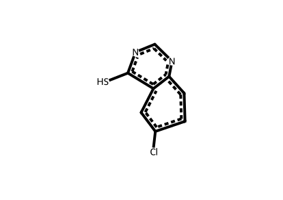 Sc1ncnc2ccc(Cl)cc12